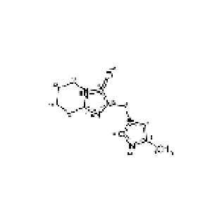 Cc1cc(Cn2nc3n(c2=O)CCCC3)on1